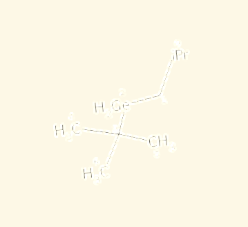 CC(C)[CH2][GeH2][C](C)(C)C